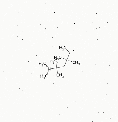 CN(C)C(C)(C)CC(C)(C)CN